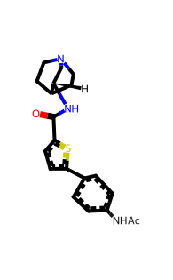 CC(=O)Nc1ccc(-c2ccc(C(=O)N[C@H]3CN4CCC3CC4)s2)cc1